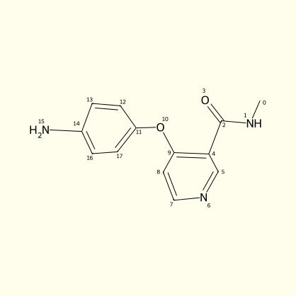 CNC(=O)c1cnccc1Oc1ccc(N)cc1